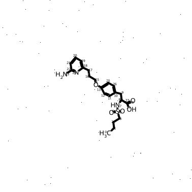 CCCCS(=O)(=O)NC(Cc1ccc(OCCCc2cccc(N)n2)cc1)C(=O)O